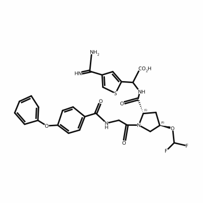 N=C(N)c1csc(C(NC(=O)[C@@H]2C[C@@H](OC(F)F)CN2C(=O)CNC(=O)c2ccc(Oc3ccccc3)cc2)C(=O)O)c1